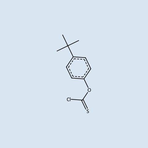 CC(C)(C)c1ccc(OC(=S)Cl)cc1